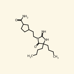 CCCCC1(CCCC)NC(=N)N(CCC2CCC(C(N)=O)C2)C1=O